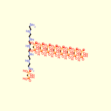 NCCNCCNCCNCCNCCNCCN.O=P(O)(O)CP(=O)(O)O.O=P(O)(O)CP(=O)(O)O.O=P(O)(O)CP(=O)(O)O.O=P(O)(O)CP(=O)(O)O.O=P(O)(O)CP(=O)(O)O.O=P(O)(O)CP(=O)(O)O.O=P(O)(O)CP(=O)(O)O.O=P(O)(O)CP(=O)(O)O.O=P(O)(O)CP(=O)(O)O